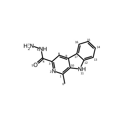 Cc1nc(C(=O)NN)cc2c1[nH]c1ccccc12